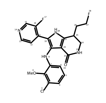 COc1c(Cl)cccc1Nc1c(-c2ccncc2F)[nH]c2c1C(=O)NCC2CCF